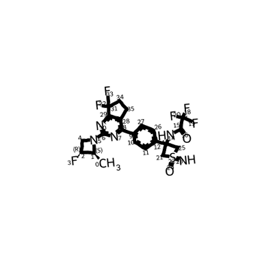 C[C@H]1[C@H](F)CN1c1nc(-c2ccc(C3(NC(=O)C(F)(F)F)CS(=N)(=O)C3)cc2)c2c(n1)C(F)(F)CC2